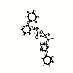 CC(n1cc(-c2cccnc2)nn1)C(C)(C)OC(=O)Nc1ccccc1-c1ccccc1